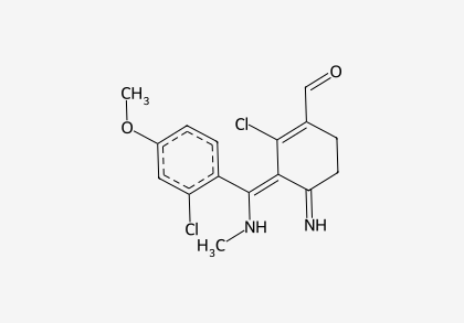 CN/C(=C1\C(=N)CCC(C=O)=C1Cl)c1ccc(OC)cc1Cl